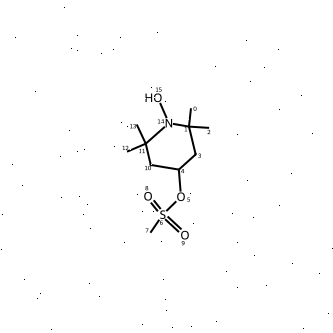 CC1(C)CC(OS(C)(=O)=O)CC(C)(C)N1O